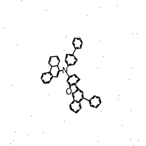 C1=CC2C(N(c3ccc(-c4ccccc4)cc3)c3ccc4c(c3)oc3c5ccccc5c(-c5ccccc5)cc43)=Cc3ccccc3C2C=C1